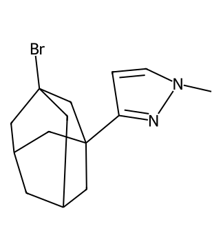 Cn1ccc(C23CC4CC(CC(Br)(C4)C2)C3)n1